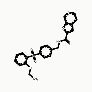 CCOc1ccccc1S(=O)(=O)c1ccc(CNC(=O)c2cc3ccncc3o2)cc1